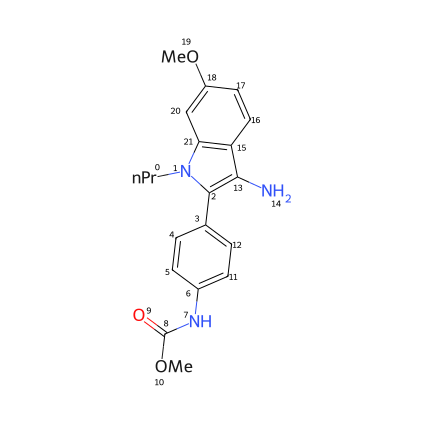 CCCn1c(-c2ccc(NC(=O)OC)cc2)c(N)c2ccc(OC)cc21